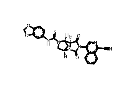 N#Cc1ncc(N2C(=O)[C@@H]3[C@@H]4C[C@@H](CN4C(=S)Nc4ccc5c(c4)OCO5)N3C2=O)c2ccccc12